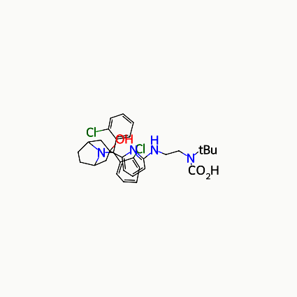 CC(C)(C)N(CCNc1cccc(C2(O)CC3CCC(C2)N3C(c2ccccc2Cl)c2ccccc2Cl)n1)C(=O)O